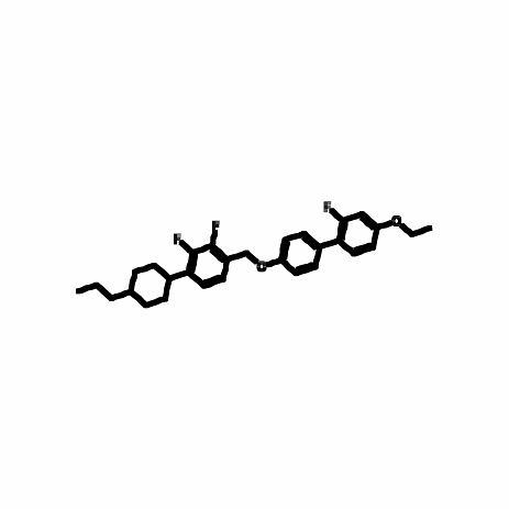 CCCC1CCC(c2ccc(COc3ccc(-c4ccc(OCC)cc4F)cc3)c(F)c2F)CC1